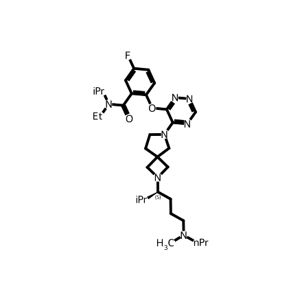 CCCN(C)CCC[C@@H](C(C)C)N1CC2(CCN(c3ncnnc3Oc3ccc(F)cc3C(=O)N(CC)C(C)C)C2)C1